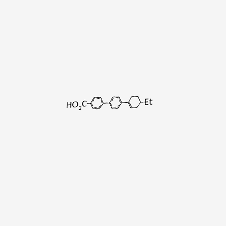 CCC1CC=C(c2ccc(-c3ccc(C(=O)O)cc3)cc2)CC1